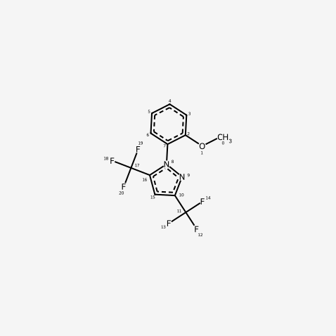 COc1ccccc1-n1nc(C(F)(F)F)cc1C(F)(F)F